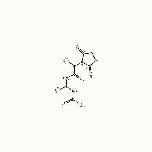 CC(=O)NC(C)NC(=O)C(C)N1C(=O)CCC1=O